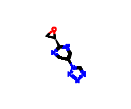 c1nc([C@@H]2CO2)ncc1-n1cnnn1